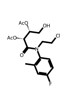 CC(=O)O[C@H](CO)[C@@H](OC(C)=O)C(=O)N(CCCl)c1ccc(F)cc1C